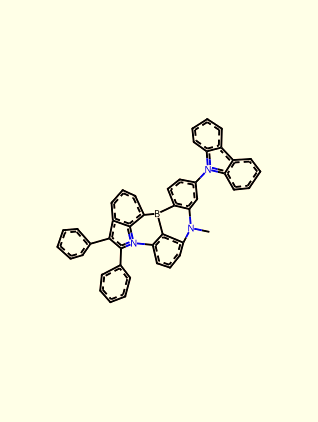 CN1c2cc(-n3c4ccccc4c4ccccc43)ccc2B2c3c1cccc3-n1c(-c3ccccc3)c(-c3ccccc3)c3cccc2c31